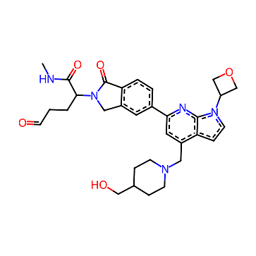 CNC(=O)C(CCC=O)N1Cc2cc(-c3cc(CN4CCC(CO)CC4)c4ccn(C5COC5)c4n3)ccc2C1=O